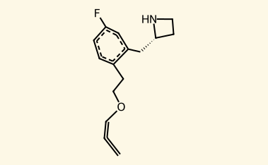 C=C=COCCc1ccc(F)cc1C[C@H]1CCN1